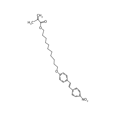 C=C(C)C(=O)OCCCCCCCCCCCOc1ccc(C=Cc2ccc([N+](=O)[O-])cc2)cc1